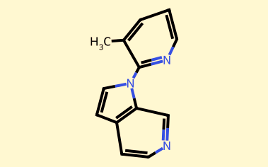 Cc1cccnc1-n1ccc2ccncc21